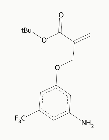 C=C(COc1cc(N)cc(C(F)(F)F)c1)C(=O)OC(C)(C)C